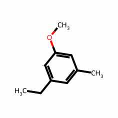 CCc1[c]c(OC)cc(C)c1